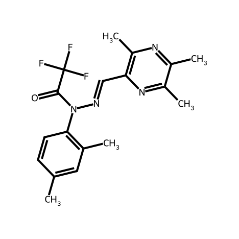 Cc1ccc(N(/N=C/c2nc(C)c(C)nc2C)C(=O)C(F)(F)F)c(C)c1